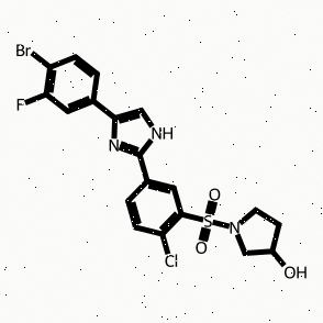 O=S(=O)(c1cc(-c2nc(-c3ccc(Br)c(F)c3)c[nH]2)ccc1Cl)N1CCC(O)C1